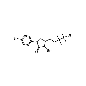 CC(C)(CCC1CN(c2ccc(Br)cc2)C(=O)C1Br)[Si](C)(C)O